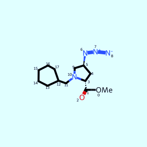 COC(=O)[C@H]1C[C@H](N=[N+]=[N-])CN1CC1CCCCC1